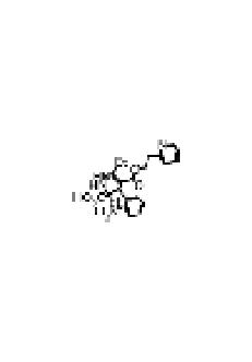 CCC1=C(C(=O)OCCc2ccccn2)C(c2ccccc2[N+](=O)[O-])C(CC)(C(=O)O)NN1